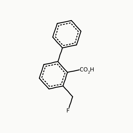 O=C(O)c1c(CF)cccc1-c1ccccc1